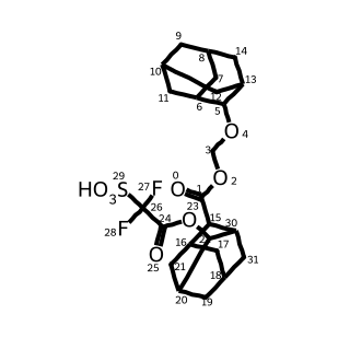 O=C(OCOC1C2CC3CC(C2)CC1C3)C1C2CC3CC(C2)C(OC(=O)C(F)(F)S(=O)(=O)O)C1C3